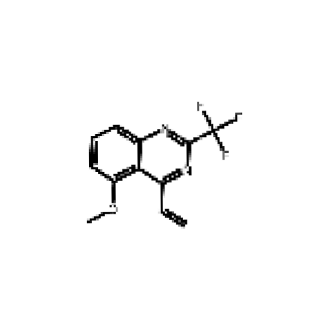 C=Cc1nc(C(F)(F)F)nc2cccc(OC)c12